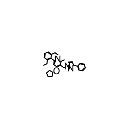 CCc1cccc(CC)c1-c1cc(OC2CCCC2)c(Cn2ccc(-c3ccccc3)n2)c(C)n1